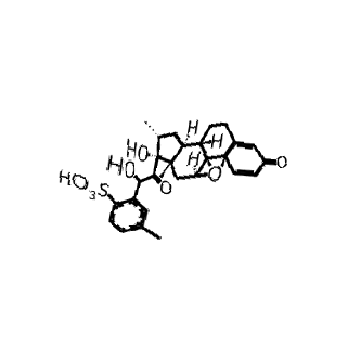 Cc1ccc(S(=O)(=O)O)c(C(O)C(=O)[C@@]2(O)[C@H](C)C[C@H]3[C@@H]4CCC5=CC(=O)C=C[C@]5(C)[C@@]45O[C@H]5C[C@@]32C)c1